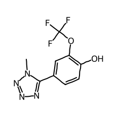 Cn1nnnc1-c1ccc(O)c(OC(F)(F)F)c1